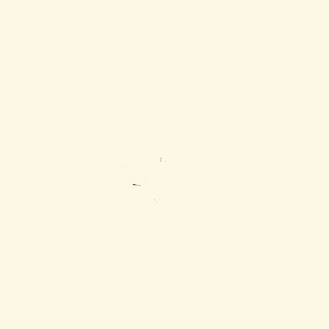 CC(=O)O[C@H]1[C@H](NC(=O)OCc2ccccc2)C(=O)N1OC(=O)C=O